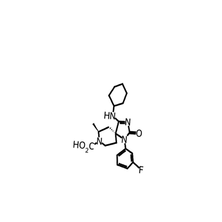 C[C@H]1C[C@]2(CCN1C(=O)O)C(NC1CCCCC1)=NC(=O)N2c1cccc(F)c1